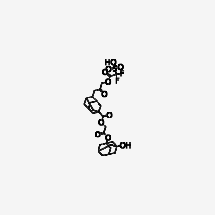 O=C(COC(=O)C(F)(F)S(=O)(=O)O)CC1C2CC3CC1CC(C(=O)OCC(=O)OC14CC5CC(CC(O)(C5)C1)C4)(C3)C2